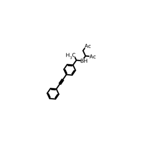 CC(=O)CC(BC(C)c1ccc(C#Cc2ccccc2)cc1)C(C)=O